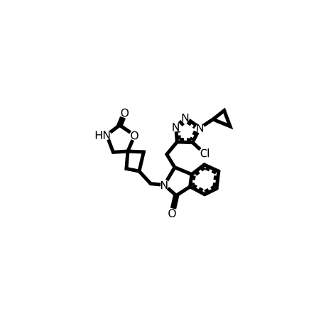 O=C1NCC2(CC(CN3C(=O)c4ccccc4C3Cc3nnn(C4CC4)c3Cl)C2)O1